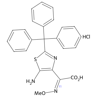 CO/N=C(/C(=O)O)c1nc(C(c2ccccc2)(c2ccccc2)c2ccccc2)sc1N.Cl